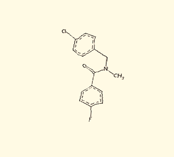 CN(Cc1ccc(Cl)cc1)C(=O)c1ccc(F)cc1